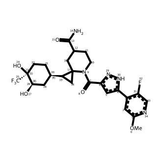 COc1cc(-c2cc(C(=O)N3CCC(C(N)=O)CC34CC4[C@@H]3CC[C@@](O)(C(F)(F)F)[C@H](O)C3)n[nH]2)c(F)cn1